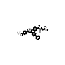 CC(C)c1ccc(C(=O)/C=C(\C(=O)c2ccc(C(=O)NCCC(=O)O)cc2)c2ccc(C3CCCCC3)cc2)cc1